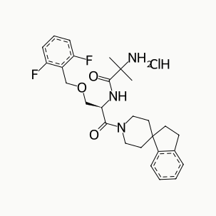 CC(C)(N)C(=O)N[C@H](COCc1c(F)cccc1F)C(=O)N1CCC2(CCc3ccccc32)CC1.Cl